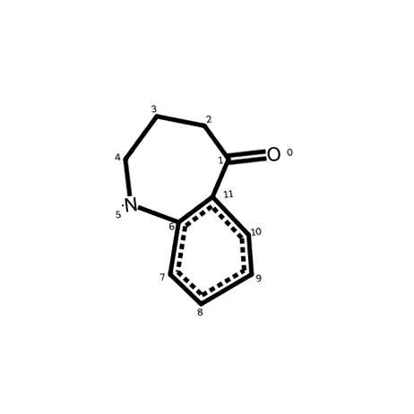 O=C1CCC[N]c2ccccc21